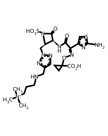 C[N+](C)(C)CCCNCc1cnn(C[C@@H]2[C@H](NC(=O)C(=NOC3(C(=O)O)CC3)c3csc(N)n3)C(=O)N2S(=O)(=O)O)n1